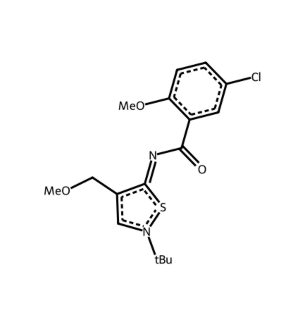 COCc1cn(C(C)(C)C)sc1=NC(=O)c1cc(Cl)ccc1OC